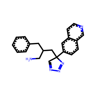 NCC(Cc1ccccc1)CC1(c2ccc3cnccc3c2)C=NN=N1